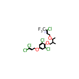 CC(COc1c(Cl)cc(OCC=C(Cl)Cl)cc1Cl)C(C)OC/C=C(\Cl)C(F)(F)F